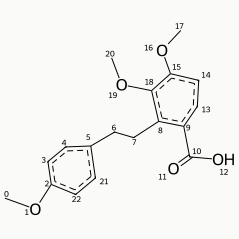 COc1ccc(CCc2c(C(=O)O)ccc(OC)c2OC)cc1